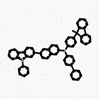 CC1(c2ccc(N(c3ccc(-c4ccccc4)cc3)c3ccc4cc(-c5ccc6c7ccccc7n(-c7ccccc7)c6c5)ccc4c3)cc2)c2ccccc2-c2ccccc21